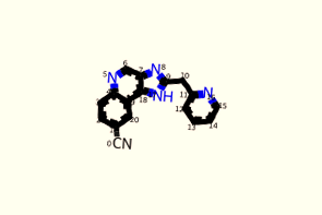 N#Cc1ccc2ncc3nc(Cc4ccccn4)[nH]c3c2c1